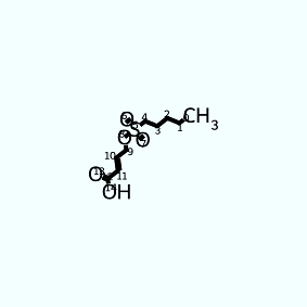 CCCCCS(=O)(=O)OCC=CC(=O)O